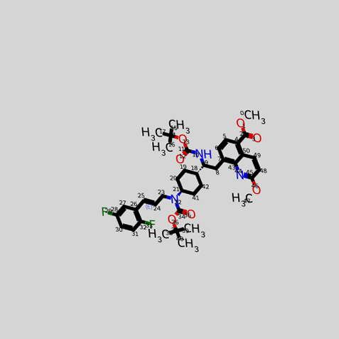 COC(=O)c1ccc(CC(NC(=O)OC(C)(C)C)[C@H]2CC[C@H](N(C/C=C/c3cc(F)ccc3F)C(=O)OC(C)(C)C)CC2)c2nc(OC)ccc12